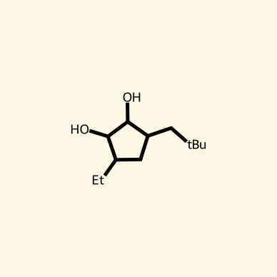 CCC1CC(CC(C)(C)C)C(O)C1O